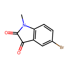 CN1C(=O)C(=O)c2cc(Br)ccc21